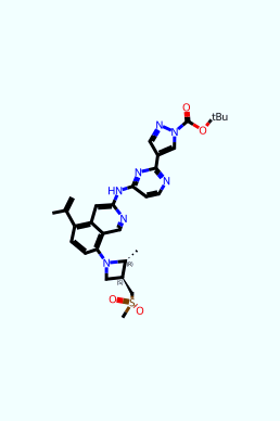 C=C(C)c1ccc(N2C[C@H](CS(C)(=O)=O)[C@H]2C)c2cnc(Nc3ccnc(-c4cnn(C(=O)OC(C)(C)C)c4)n3)cc12